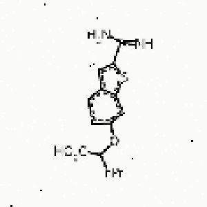 CCCC(Oc1ccc2cc(C(=N)N)sc2c1)C(=O)O